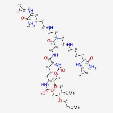 COCCOCCOC(=O)NCCCCC(NC(=O)OCCOCCOC)C(=O)NCCC(=O)N(CCNCCCCC(NC1CC1)C(N)=O)CCNCCCCC(NC1CC1)C(N)=O